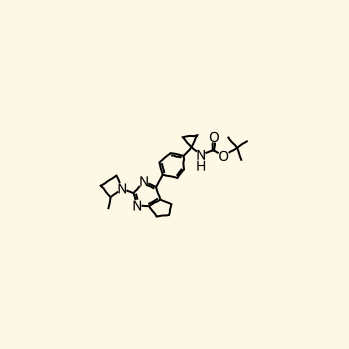 CC1CCN1c1nc2c(c(-c3ccc(C4(NC(=O)OC(C)(C)C)CC4)cc3)n1)CCC2